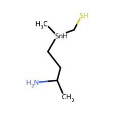 CC(N)C[CH2][SnH]([CH3])[CH2]S